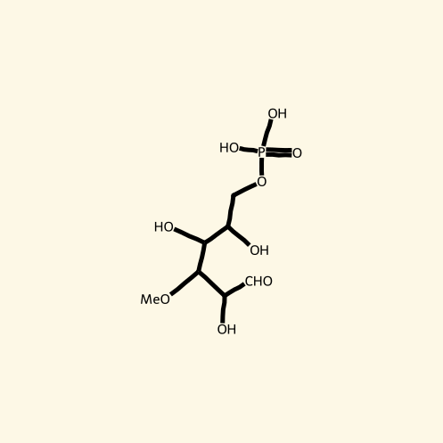 COC(C(O)C=O)C(O)C(O)COP(=O)(O)O